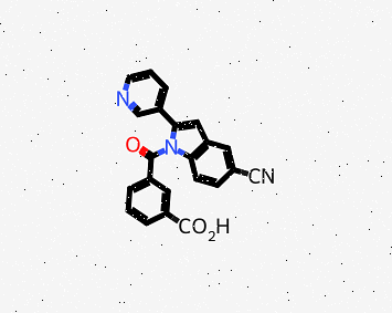 N#Cc1ccc2c(c1)cc(-c1cccnc1)n2C(=O)c1cccc(C(=O)O)c1